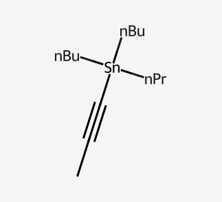 CC#[C][Sn]([CH2]CC)([CH2]CCC)[CH2]CCC